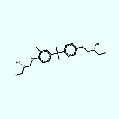 Cc1cc(C(C)(C)c2ccc(OC[C@H](O)CCl)cc2)ccc1OC[C@@H](O)CO